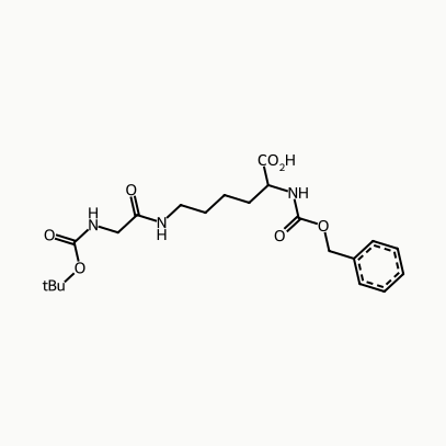 CC(C)(C)OC(=O)NCC(=O)NCCCCC(NC(=O)OCc1ccccc1)C(=O)O